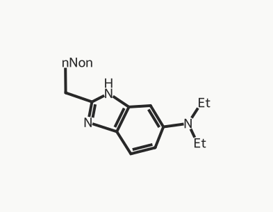 CCCCCCCCCCc1nc2ccc(N(CC)CC)cc2[nH]1